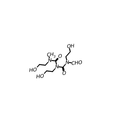 CN(CCO)C(=O)N(CCO)C(=O)N(C=O)CCO